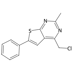 Cc1nc(CCl)c2cc(-c3ccccc3)sc2n1